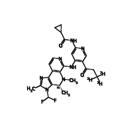 [2H]C([2H])([2H])CC(=O)c1cnc(NC(=O)C2CC2)cc1Nc1nccc2c1N(C)[C@H](C)c1c-2nc(C)n1C(F)F